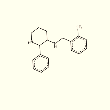 FC(F)(F)c1ccccc1CNC1CCCNC1c1ccccc1